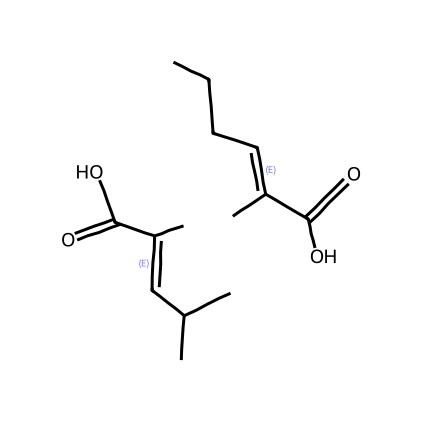 C/C(=C\C(C)C)C(=O)O.CCC/C=C(\C)C(=O)O